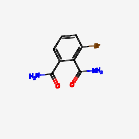 NC(=O)c1cccc(Br)c1C(N)=O